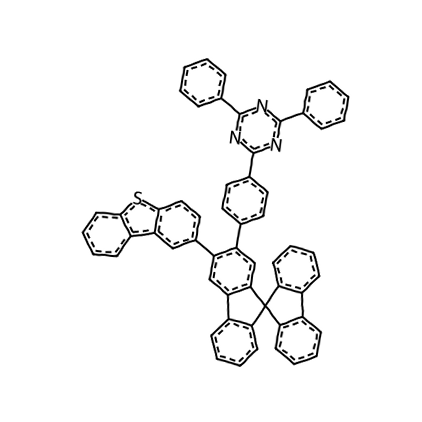 c1ccc(-c2nc(-c3ccccc3)nc(-c3ccc(-c4cc5c(cc4-c4ccc6sc7ccccc7c6c4)-c4ccccc4C54c5ccccc5-c5ccccc54)cc3)n2)cc1